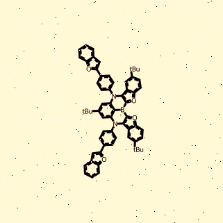 CC(C)(C)c1cc2c3c(c1)N(c1ccc(-c4cc5ccccc5o4)cc1)c1c(oc4ccc(C(C)(C)C)cc14)B3c1oc3ccc(C(C)(C)C)cc3c1N2c1ccc(-c2cc3ccccc3o2)cc1